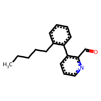 CCCCCc1ccccc1-c1cccnc1[C]=O